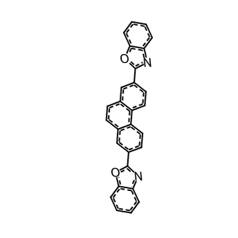 c1ccc2oc(-c3ccc4c(ccc5cc(-c6nc7ccccc7o6)ccc54)c3)nc2c1